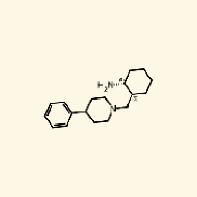 N[C@@H]1CCCC[C@H]1CN1CCC(c2ccccc2)CC1